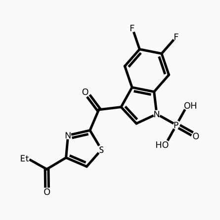 CCC(=O)c1csc(C(=O)c2cn(P(=O)(O)O)c3cc(F)c(F)cc23)n1